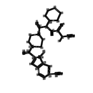 CNC(C)C(=O)NC(C(=O)N1CCN(C(=O)c2cc3ccc(OC)cc3n2C)CC1)C1CCCCC1